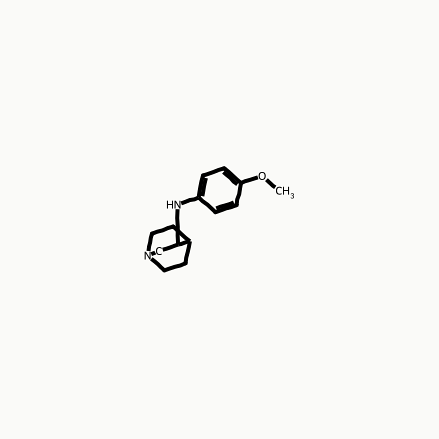 COc1ccc(NC2CN3CCC2CC3)cc1